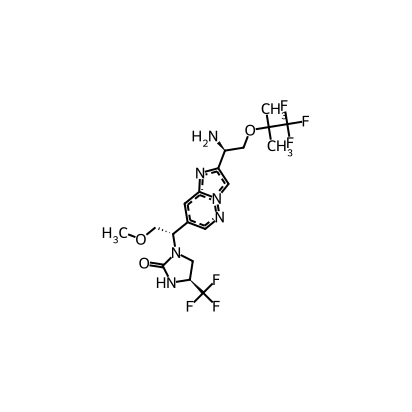 COC[C@H](c1cnn2cc([C@@H](N)COC(C)(C)C(F)(F)F)nc2c1)N1C[C@@H](C(F)(F)F)NC1=O